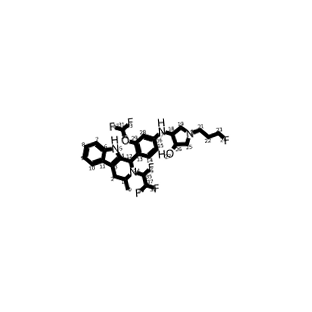 CC1Cc2c([nH]c3ccccc23)C(c2ccc(NC3CN(CCCF)CC3O)cc2OC(F)F)N1C(F)C(F)F